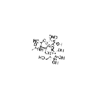 CC(=O)N[C@H]1C(O)O[C@H](C(O)S(=O)(=O)O)[C@@H](O[C@@H]2O[C@H](CO)[C@H](O)[C@H](O)[C@H]2O)[C@@H]1O